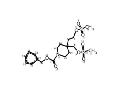 CS(=O)(=O)OCCC1(COS(C)(=O)=O)CCN(C(=O)OCc2ccccc2)CC1